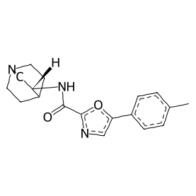 Cc1ccc(-c2cnc(C(=O)N[C@H]3CN4CCC3CC4)o2)cc1